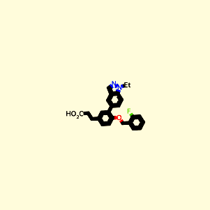 CCn1ncc2cc(-c3cc(CCC(=O)O)ccc3OCc3ccccc3F)ccc21